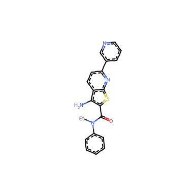 CCN(C(=O)c1sc2nc(-c3cccnc3)ccc2c1N)c1ccccc1